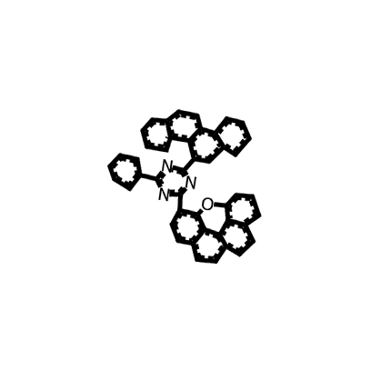 c1ccc(-c2nc(-c3ccc4ccc5ccc6cccc7c6c5c4c3O7)nc(-c3cc4ccccc4c4ccc5ccccc5c34)n2)cc1